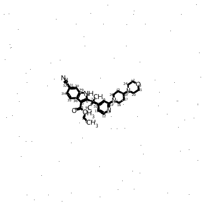 CCOC(=O)c1c(C(C)(C)c2ccnc(N3CCC(N4CCOCC4)CC3)c2)[nH]c2cc(C#N)ccc12